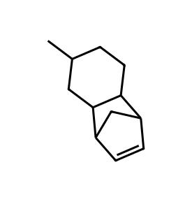 CC1CCC2C3C=CC(C3)C2C1